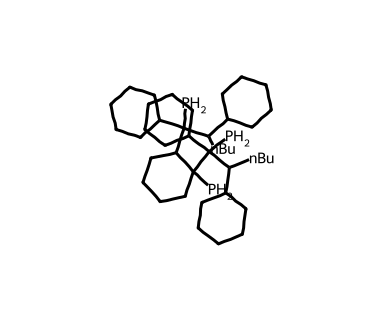 CCCCC(C1CCCCC1)C(P)(C1CCCCC1)C1CCCCC1(P)C(P)(C1CCCCC1)C(CCCC)C1CCCCC1